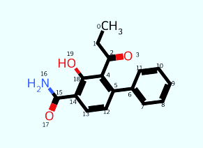 CCC(=O)c1c(-c2ccccc2)ccc(C(N)=O)c1O